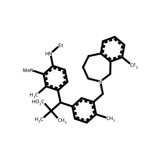 CCNc1ccc(C(c2ccc(C)c(CN3CCCc4cccc(C(F)(F)F)c4C3)c2)C(C)(C)C(=O)O)c(C)c1NC